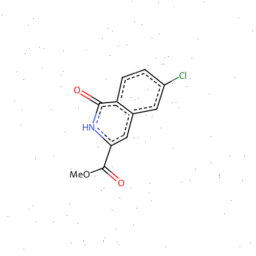 COC(=O)c1cc2cc(Cl)ccc2c(=O)[nH]1